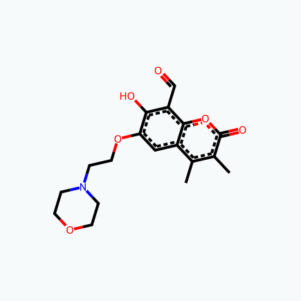 Cc1c(C)c2cc(OCCN3CCOCC3)c(O)c(C=O)c2oc1=O